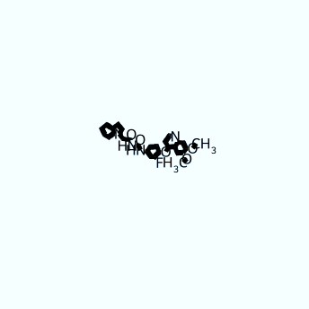 COc1cc2nccc(Oc3ccc(NC(=O)NC(=O)Cn4ccc5ccccc54)cc3F)c2cc1OC